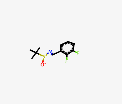 CC(C)(C)[S+]([O-])N=Cc1cccc(F)c1F